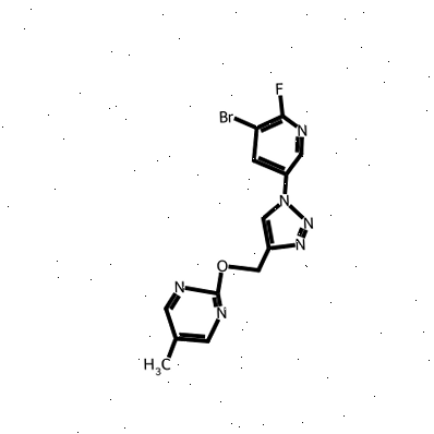 Cc1cnc(OCc2cn(-c3cnc(F)c(Br)c3)nn2)nc1